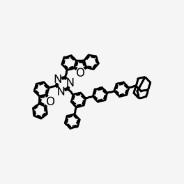 c1ccc(-c2cc(-c3ccc(-c4ccc(C56CC7CC(CC(C7)C5)C6)cc4)cc3)cc(-c3nc(-c4cccc5c4oc4ccccc45)nc(-c4cccc5c4oc4ccccc45)n3)c2)cc1